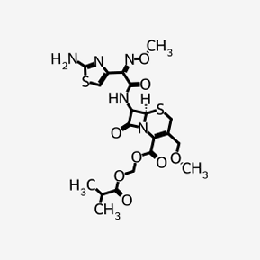 COCC1=C(C(=O)OCOC(=O)C(C)C)N2C(=O)C(NC(=O)/C(=N\OC)c3csc(N)n3)[C@H]2SC1